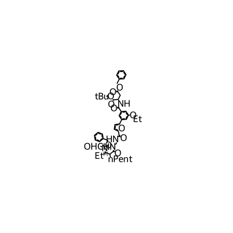 CCCCCC(C(=O)NCNC(=O)c1ccc(-c2cc(OCC)cc(C(=O)NC(CC(=O)OCc3ccccc3)C(=O)OC(C)(C)C)c2)o1)[C@@H](CC)N(C=O)OCc1ccccc1